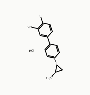 Cl.N[C@@H]1C[C@H]1c1ccc(-c2ccc(F)c(O)c2)cc1